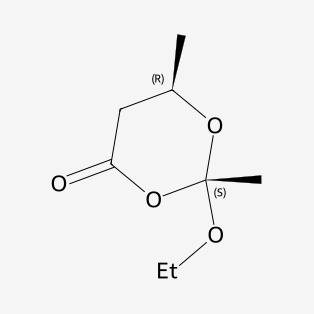 CCO[C@]1(C)OC(=O)C[C@@H](C)O1